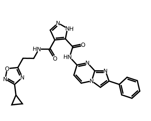 O=C(NCCc1nc(C2CC2)no1)c1cn[nH]c1C(=O)Nc1ccn2cc(-c3ccccc3)nc2n1